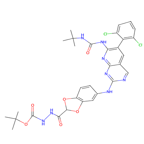 CC(C)(C)NC(=O)Nc1nc2nc(Nc3ccc4c(c3)OC(C(=O)NNC(=O)OC(C)(C)C)O4)ncc2cc1-c1c(Cl)cccc1Cl